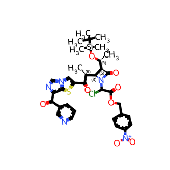 C[C@@H](O[Si](C)(C)C(C)(C)C)[C@H]1C(=O)N(C(Cl)C(=O)OCc2ccc([N+](=O)[O-])cc2)[C@@H]1[C@@H](C)C(=O)c1cn2cnc(C(=O)c3cccnc3)c2s1